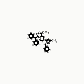 COC(=O)C1CN(c2cc(C)nn2Cc2ccccc2)CCN1C(=O)C(c1ccccc1)c1ccccc1